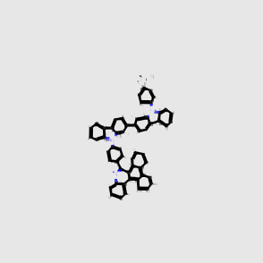 C[Si](C)(C)c1ccc(-n2c3ccccc3c3ccc(-c4ccc5c6ccccc6n(-c6ccc(-c7nc8ccccc8c8c9ccccc9c9ccccc9c78)cc6)c5c4)cc32)cc1